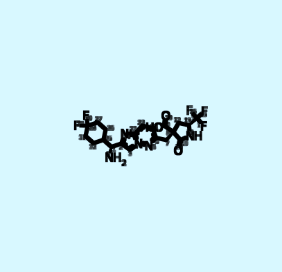 N[C@H](c1cn2nc(C[C@@]3(C(=O)O)C[C@@H](C(F)(F)F)NC3=O)ccc2n1)C1CCC(F)(F)CC1